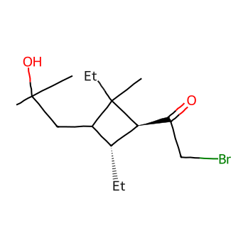 CC[C@@H]1C(CC(C)(C)O)C(C)(CC)[C@H]1C(=O)CBr